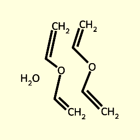 C=COC=C.C=COC=C.O